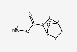 CCCCOC(=O)C1CC2CCC1O2